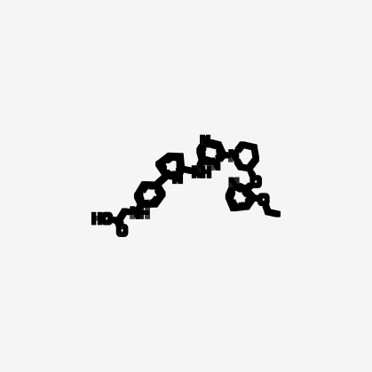 CCOc1cccnc1O[C@@H]1CCCN(c2cncc(Nc3cccc(-c4ccc(NCC(=O)O)cc4)n3)n2)C1